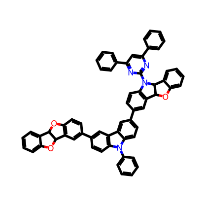 c1ccc(-c2cc(-c3ccccc3)nc(N3c4ccc(-c5ccc6c(c5)c5cc(-c7ccc8c(c7)C7Oc9ccccc9C7O8)ccc5n6-c5ccccc5)cc4C4Oc5ccccc5C43)n2)cc1